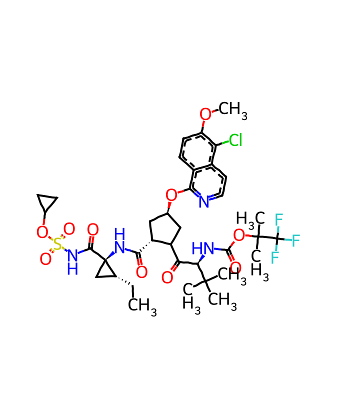 CC[C@@H]1C[C@]1(NC(=O)[C@@H]1C[C@@H](Oc2nccc3c(Cl)c(OC)ccc23)CC1C(=O)[C@@H](NC(=O)OC(C)(C)C(F)(F)F)C(C)(C)C)C(=O)NS(=O)(=O)OC1CC1